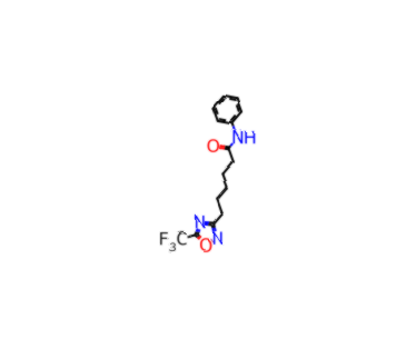 O=C(CCCCCc1noc(C(F)(F)F)n1)Nc1ccccc1